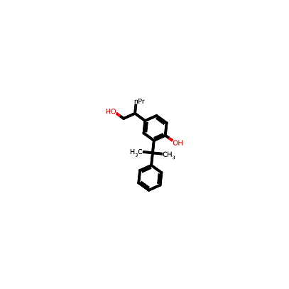 CCCC(CO)c1ccc(O)c(C(C)(C)c2ccccc2)c1